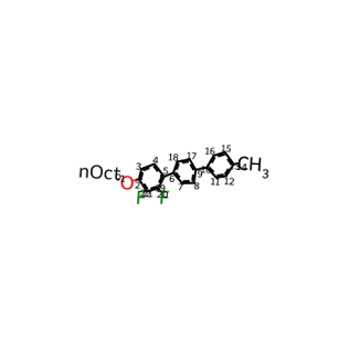 CCCCCCCCOc1ccc(-c2ccc(-c3ccc(C)cc3)cc2)c(F)c1F